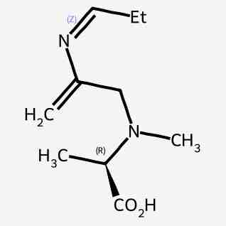 C=C(CN(C)[C@H](C)C(=O)O)/N=C\CC